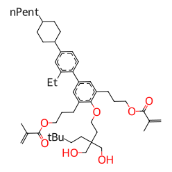 C=C(C)C(=O)OCCCc1cc(-c2ccc(C3CCC(CCCCC)CC3)cc2CC)cc(CCCOC(=O)C(=C)C)c1OCCC(CO)(CO)CCC(C)(C)C